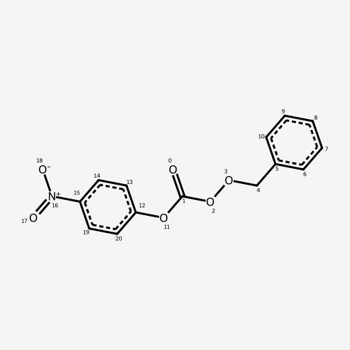 O=C(OOCc1ccccc1)Oc1ccc([N+](=O)[O-])cc1